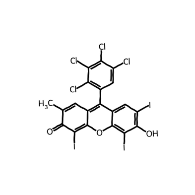 Cc1cc2c(-c3cc(Cl)c(Cl)c(Cl)c3Cl)c3cc(I)c(O)c(I)c3oc-2c(I)c1=O